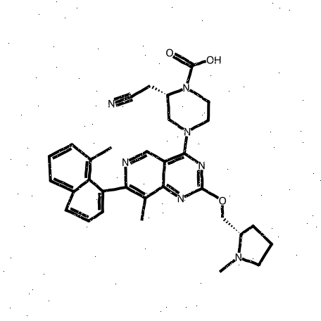 Cc1c(-c2cccc3cccc(C)c23)ncc2c(N3CCN(C(=O)O)[C@@H](CC#N)C3)nc(OC[C@@H]3CCCN3C)nc12